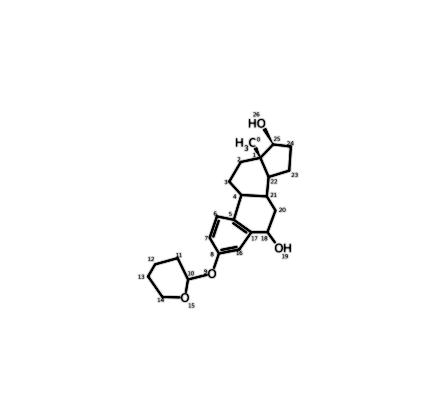 C[C@]12CCC3c4ccc(OC5CCCCO5)cc4C(O)CC3C1CC[C@@H]2O